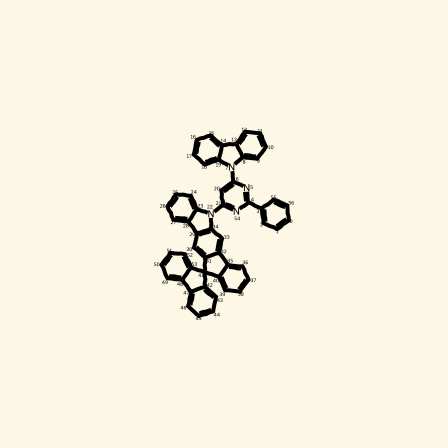 c1ccc(-c2nc(-n3c4ccccc4c4ccccc43)cc(-n3c4ccccc4c4cc5c(cc43)-c3ccccc3C53c4ccccc4-c4ccccc43)n2)cc1